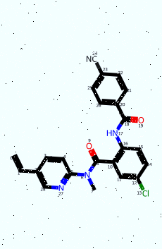 C=Cc1ccc(N(C)C(=O)c2cc(Cl)ccc2NC(=O)c2ccc(C#N)cc2)nc1